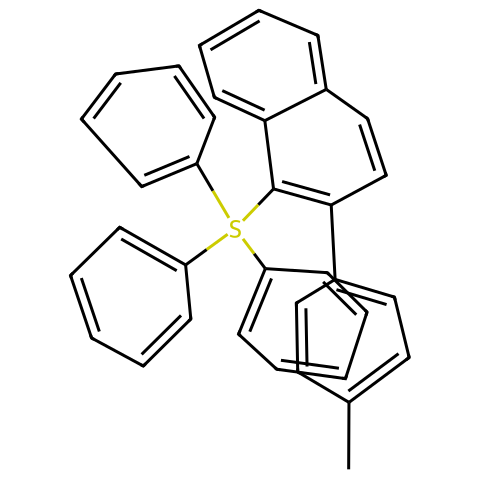 Cc1ccc(-c2ccc3ccccc3c2S(c2ccccc2)(c2ccccc2)c2ccccc2)cc1